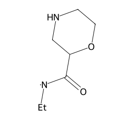 CC[N]C(=O)C1CNCCO1